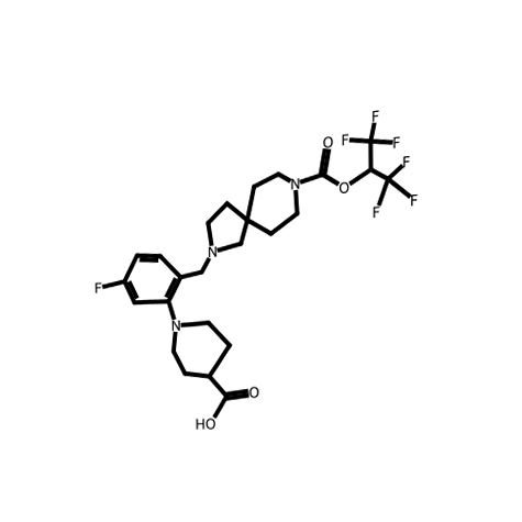 O=C(O)C1CCN(c2cc(F)ccc2CN2CCC3(CCN(C(=O)OC(C(F)(F)F)C(F)(F)F)CC3)C2)CC1